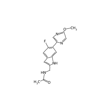 COc1cnc(-c2cc3[nH]c(CNC(C)=O)cc3cc2F)cn1